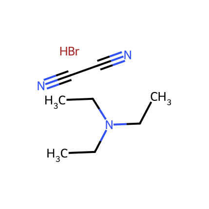 Br.CCN(CC)CC.N#CC#N